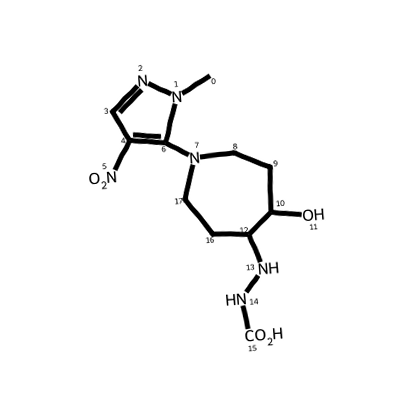 Cn1ncc([N+](=O)[O-])c1N1CCC(O)C(NNC(=O)O)CC1